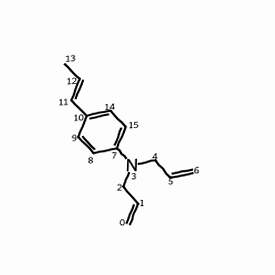 C=CCN(CC=C)c1ccc(/C=C/C)cc1